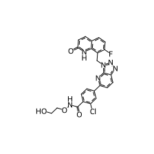 O=C(NOCCO)c1ccc(-c2ccc3nnn(Cc4c(F)ccc5ccc(=O)[nH]c45)c3n2)cc1Cl